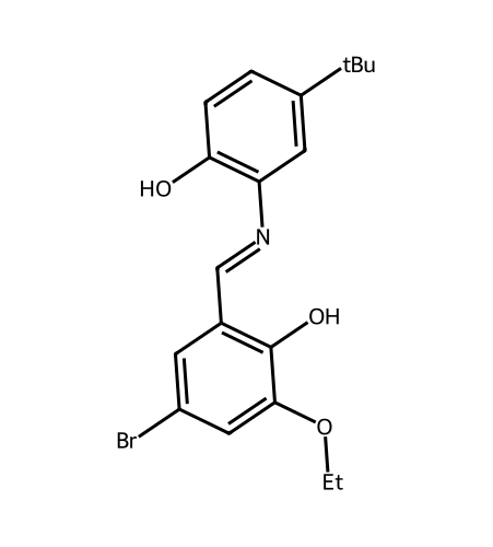 CCOc1cc(Br)cc(/C=N/c2cc(C(C)(C)C)ccc2O)c1O